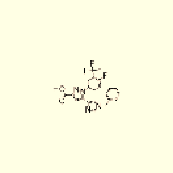 O=C(O)c1cc(-c2cn(Cc3ccccc3)cn2)n(-c2ccc(F)c(C(F)(F)F)c2)n1